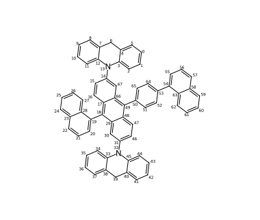 c1ccc2c(c1)Cc1ccccc1N2c1ccc2c(-c3cccc4ccccc34)c3cc(N4c5ccccc5Cc5ccccc54)ccc3c(-c3ccc(-c4cccc5ccccc45)cc3)c2c1